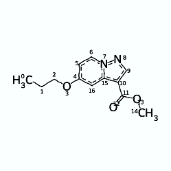 CCCOc1ccn2ncc(C(=O)OC)c2c1